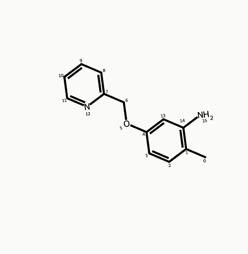 Cc1ccc(OCc2ccccn2)cc1N